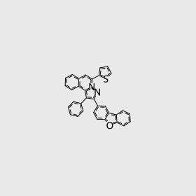 c1ccc(-c2c(-c3ccc4oc5ccccc5c4c3)nn3c(-c4cccs4)cc4ccccc4c23)cc1